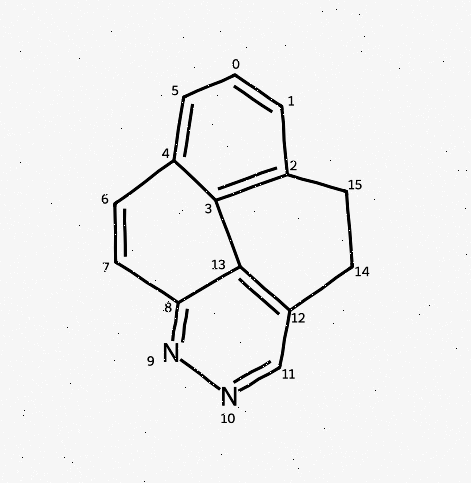 c1cc2c3c(c1)ccc1nncc(c13)CC2